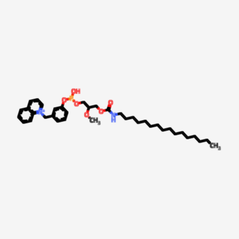 CCCCCCCCCCCCCCCCNC(=O)OCC(COP(O)Oc1cccc(C[n+]2cccc3ccccc32)c1)OC